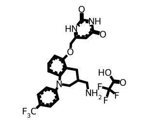 NCC1Cc2c(OCc3cc(=O)[nH]c(=O)[nH]3)cccc2N(c2ccc(C(F)(F)F)cc2)C1.O=C(O)C(F)(F)F